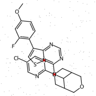 COc1ccc(-c2csc3c(OC4C5COCC4CN(c4ncc(Cl)cn4)C5)ncnc23)c(F)c1